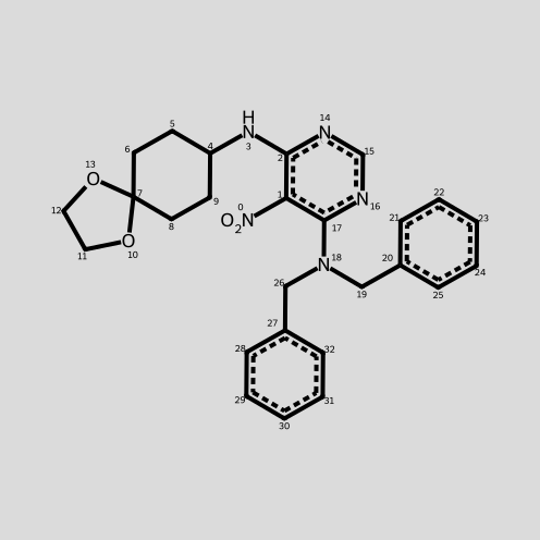 O=[N+]([O-])c1c(NC2CCC3(CC2)OCCO3)ncnc1N(Cc1ccccc1)Cc1ccccc1